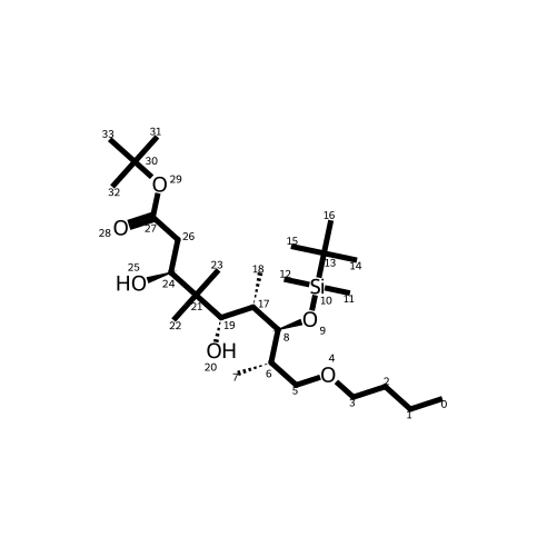 CCCCOC[C@H](C)[C@H](O[Si](C)(C)C(C)(C)C)[C@@H](C)[C@H](O)C(C)(C)[C@@H](O)CC(=O)OC(C)(C)C